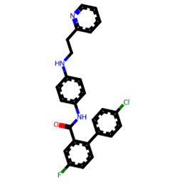 O=C(Nc1ccc(NCCc2ccccn2)cc1)c1cc(F)ccc1-c1ccc(Cl)cc1